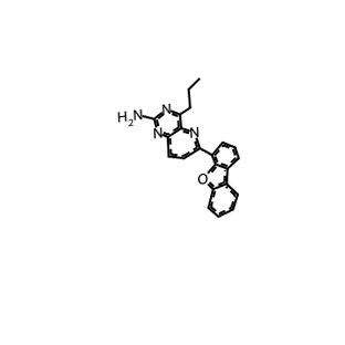 CCCc1nc(N)nc2ccc(-c3cccc4c3oc3ccccc34)nc12